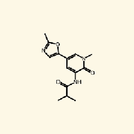 Cc1ncc(-c2cc(NC(=O)C(C)C)c(=O)n(C)c2)o1